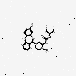 CN1CCN(C2=Nc3cc(Cl)ccc3Oc3ccccc32)CC1CC(=O)NC(CF)CF